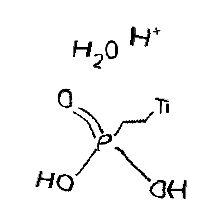 O.O=[P](O)(O)[Ti].[H+]